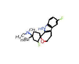 CCCCC1(N(C)C)CCC2(OCCc3c2[nH]c2ccc(F)cc32)C(F)C1